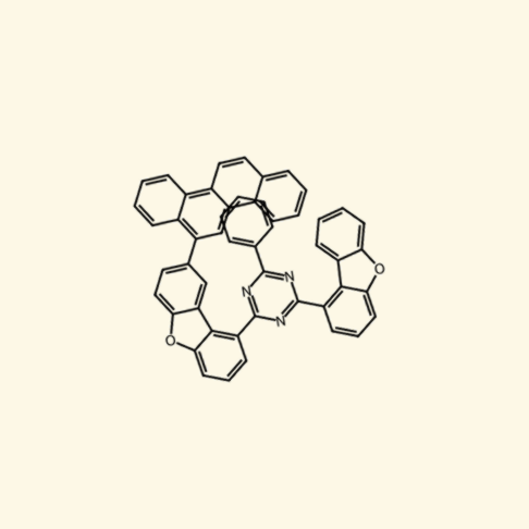 c1ccc(-c2nc(-c3cccc4oc5ccccc5c34)nc(-c3cccc4oc5ccc(-c6cc7c8ccccc8ccc7c7ccccc67)cc5c34)n2)cc1